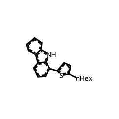 CCCCCCc1ccc(-c2cccc3c2[nH]c2ccccc23)s1